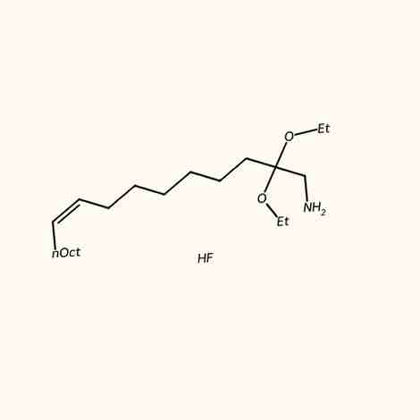 CCCCCCCC/C=C\CCCCCCC(CN)(OCC)OCC.F